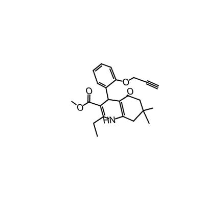 C#CCOc1ccccc1C1C2=C(CC(C)(C)CC2=O)NC(CC)=C1C(=O)OC